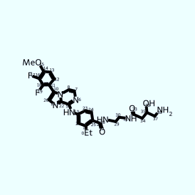 CCc1cc(Nc2nccn3c(-c4ccc(OC)c(F)c4F)cnc23)ccc1C(=O)NCCNC(=O)CC(O)CN